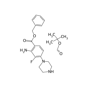 CC(C)(C)OC=O.Nc1c(C(=O)OCc2ccccc2)ccc(N2CCNCC2)c1F